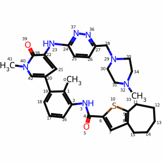 Cc1c(NC(=O)c2cc3c(s2)CCCCC3)cccc1-c1cc(Nc2ccc(CN3CCN(C)CC3)nn2)c(=O)n(C)c1